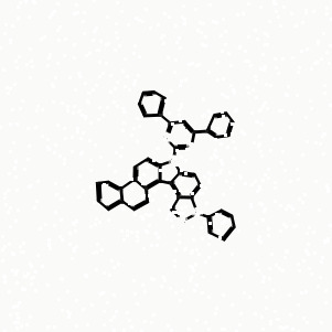 c1ccc(-c2cc(-c3ccccc3)nc(-n3c4ccc5c6ccccc6ccc5c4c4c5cnn(-c6ccccc6)c5ccc43)n2)cc1